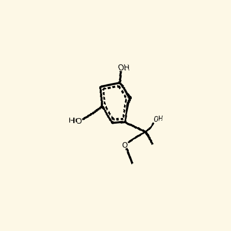 COC(C)(O)c1cc(O)cc(O)c1